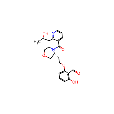 CC(O)Cc1ncccc1C(=O)N1CCOC[C@H]1CCOc1cccc(O)c1C=O